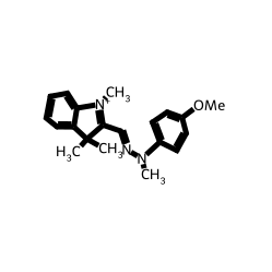 COc1ccc(N(C)N=CC2=[N+](C)c3ccccc3C2(C)C)cc1